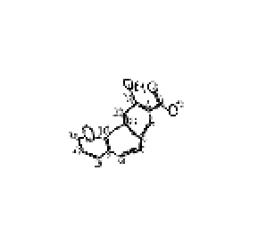 COC(=O)c1cc2ccc3c(c2cc1O)OCC=C3